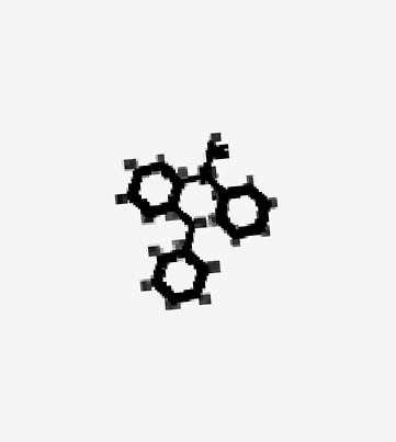 CC(=O)N(c1ccccc1)c1ccccc1Cc1ccccc1